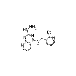 CCc1ncccc1CNc1nc(NN)nc2ncccc12